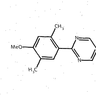 COc1cc(C)c(-c2ncccn2)cc1C